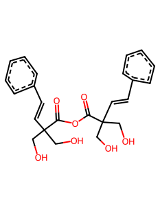 O=C(OC(=O)C(C=Cc1ccccc1)(CO)CO)C(C=Cc1ccccc1)(CO)CO